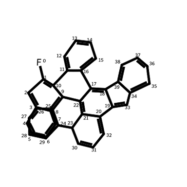 Fc1cc2ccccc2c2c1c1ccccc1c1c3c(c4c(c12)C(c1ccccc1)C=CC=4)=Cc1ccccc1-3